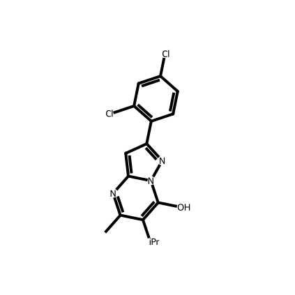 Cc1nc2cc(-c3ccc(Cl)cc3Cl)nn2c(O)c1C(C)C